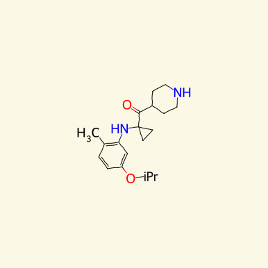 Cc1ccc(OC(C)C)cc1NC1(C(=O)C2CCNCC2)CC1